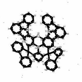 c1ccc2c(c1)-c1ccccc1C21c2cccc3c2B2c4c1cc1c5cccc6c7ccccc7n(c1c4Oc1c2c(cc2c4cccc7c8ccccc8n(c12)c74)C31c2ccccc2-c2ccccc21)c65